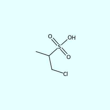 CC(CCl)S(=O)(=O)O